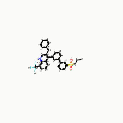 C=CCS(=O)(=O)c1cccc(-c2cccc(-c3c(Cc4ccccc4)cnc4c(C(F)(F)F)cccc34)c2)c1